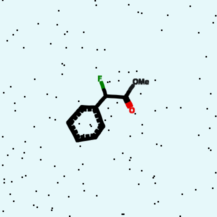 COC(=O)C(F)c1ccccc1